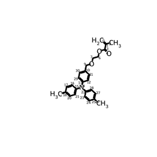 C=C(C)C(=O)OCCOCc1ccc(N(c2ccc(C)cc2)c2ccc(C)cc2)cc1